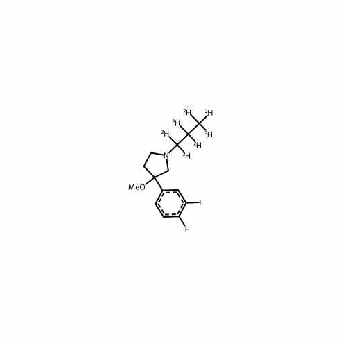 [2H]C([2H])([2H])C([2H])([2H])C([2H])([2H])N1CCC(OC)(c2ccc(F)c(F)c2)C1